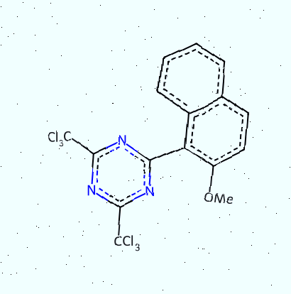 COc1ccc2ccccc2c1-c1nc(C(Cl)(Cl)Cl)nc(C(Cl)(Cl)Cl)n1